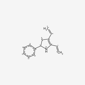 C=CC1=C(C=C)SC(c2ccccc2)N1